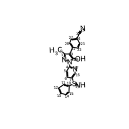 Cc1nn(-c2ccc(S(=N)c3ccccc3)cn2)c(O)c1-c1ccc(C#N)cc1